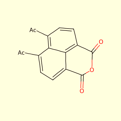 CC(=O)c1ccc2c3c(ccc(C(C)=O)c13)C(=O)OC2=O